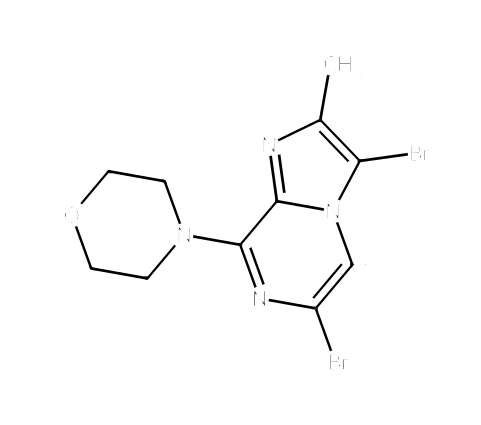 Cc1nc2c(N3CCOCC3)nc(Br)cn2c1Br